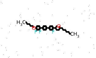 CCCCCCCC1CCC(c2ccc(-c3ccc(-c4ccc(OCCCCCC)c(F)c4F)cc3)cc2F)CO1